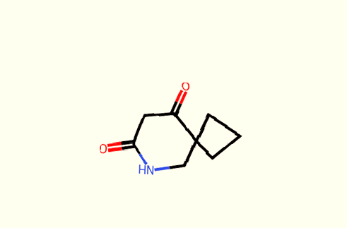 O=C1CC(=O)C2(CCC2)CN1